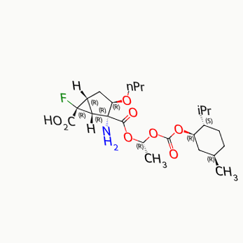 CCCO[C@@H]1C[C@@H]2[C@H]([C@]1(N)C(=O)O[C@@H](C)OC(=O)O[C@@H]1C[C@H](C)CC[C@H]1C(C)C)[C@@]2(F)C(=O)O